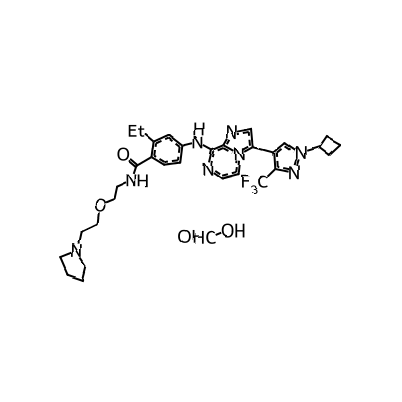 CCc1cc(Nc2nccn3c(-c4cn(C5CCC5)nc4C(F)(F)F)cnc23)ccc1C(=O)NCCOCCN1CCCC1.O=CO